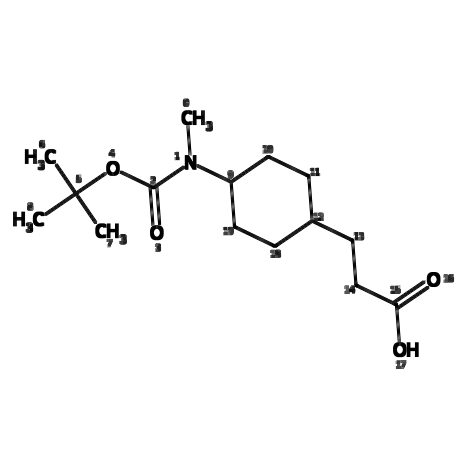 CN(C(=O)OC(C)(C)C)C1CCC(CCC(=O)O)CC1